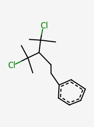 CC(C)(Cl)C(CCc1ccccc1)C(C)(C)Cl